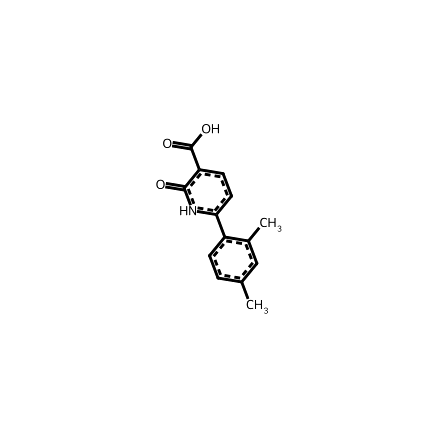 Cc1ccc(-c2ccc(C(=O)O)c(=O)[nH]2)c(C)c1